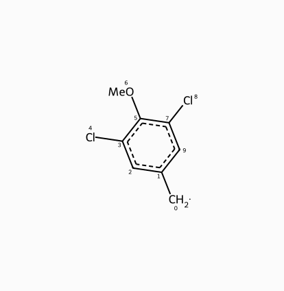 [CH2]c1cc(Cl)c(OC)c(Cl)c1